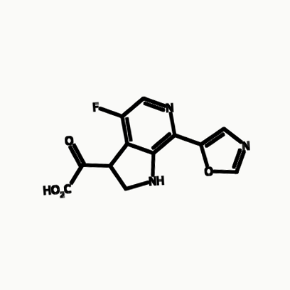 O=C(O)C(=O)C1CNc2c(-c3cnco3)ncc(F)c21